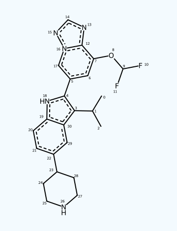 CC(C)c1c(-c2cc(OC(F)F)c3ncnn3c2)[nH]c2ccc(C3CCNCC3)cc12